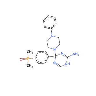 CP(C)(=O)c1ccc(C2(N3CCN(c4ccccc4)CC3)N=CNC(N)=N2)cc1